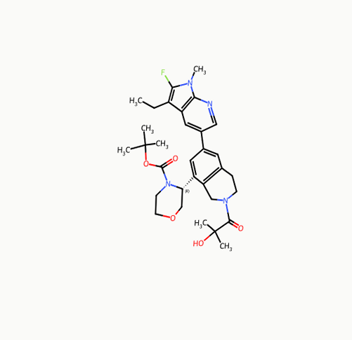 CCc1c(F)n(C)c2ncc(-c3cc4c(c([C@@H]5COCCN5C(=O)OC(C)(C)C)c3)CN(C(=O)C(C)(C)O)CC4)cc12